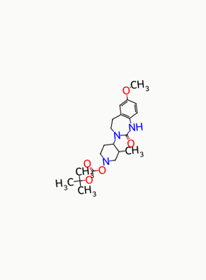 COc1ccc2c(c1)CCN(C1CCN(OC(=O)OC(C)(C)C)CC1C)C(=O)N2